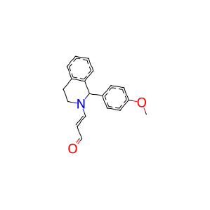 COc1ccc(C2c3ccccc3CCN2C=CC=O)cc1